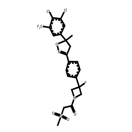 CC1(c2cc(Cl)c(Cl)c(C(F)(F)F)c2)CC(c2ccc(C3(F)CN(C(=O)CS(C)(=O)=O)C3)cc2)=NO1